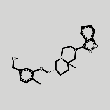 Cc1ccc(CO)cc1OC[C@H]1CC[C@H]2CN(c3noc4ccccc34)CCN2C1